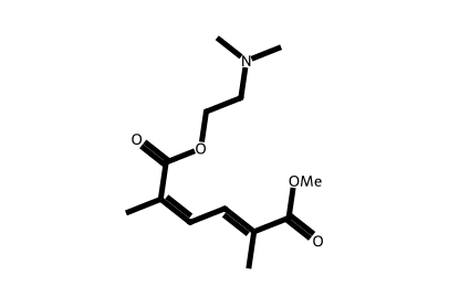 COC(=O)C(C)=CC=C(C)C(=O)OCCN(C)C